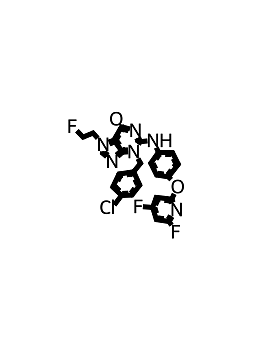 O=c1nc(Nc2ccc(Oc3cc(F)cc(F)n3)cc2)n(Cc2ccc(Cl)cc2)c2ncn(CCF)c12